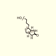 O=C(O)CCC[C@@H]1SC[C@@H]2NC(=O)N[C@@H]21